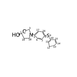 OC1CCN(c2ccc(SC3=CCCC=C3)cc2)CC1